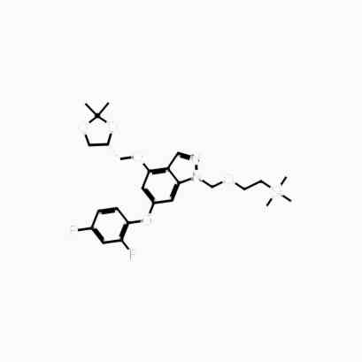 CC1(C)OC[C@@H](COc2cc(Oc3ccc(F)cc3F)cc3c2cnn3COCC[Si](C)(C)C)O1